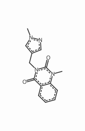 Cn1cc(Cn2c(=O)c3ccccc3n(C)c2=O)cn1